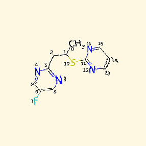 CC(Cc1ncc(F)cn1)Sc1ncccn1